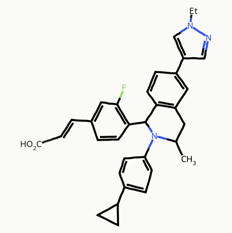 CCn1cc(-c2ccc3c(c2)CC(C)N(c2ccc(C4CC4)cc2)C3c2ccc(/C=C/C(=O)O)cc2F)cn1